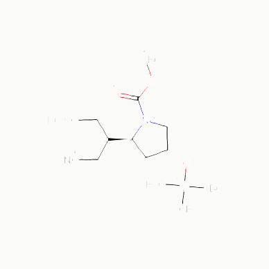 CCOC(=O)CC(CC#N)[C@@H]1C[C@@H](O[Si](C)(C)C(C)(C)C)CN1C(=O)OC(C)(C)C